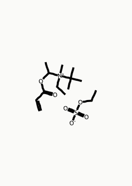 C=CC(=O)OC(C)[N+](C)(CC)C(C)(C)C.CCOS(=O)(=O)[O-]